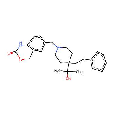 CC(C)(O)C1(CCc2ccccc2)CCN(Cc2ccc3c(c2)COC(=O)N3)CC1